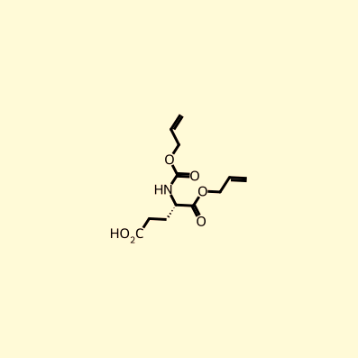 C=CCOC(=O)N[C@@H](CCC(=O)O)C(=O)OCC=C